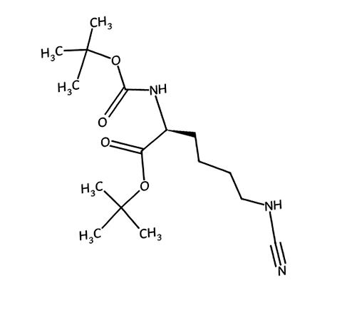 CC(C)(C)OC(=O)N[C@@H](CCCCNC#N)C(=O)OC(C)(C)C